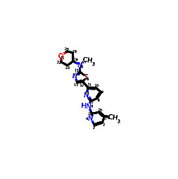 Cc1ccnc(Nc2cccc(-c3cnc(N(C)C4CCOCC4)s3)n2)c1